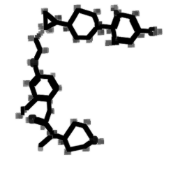 CN(C(=O)Cc1ccc(OCC[C@@H]2CC2C2CCN(c3ncc(Cl)cn3)CC2)cc1F)C1CCOCC1